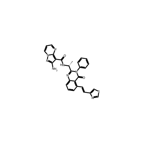 C[C@@H](NC(=O)c1c(N)nn2cccnc12)c1nc2cccc(/C=C/c3cscn3)c2c(=O)n1-c1ccccc1